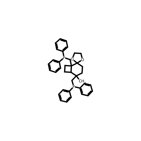 CC1(CP(c2ccccc2)c2ccccc2)CCC2(OCCO2)C2(CP(c3ccccc3)c3ccccc3)CCC12